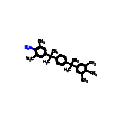 Cc1cc(C(C)(C)c2ccc(C(C)(C)c3cc(C)c(N)c(C)c3)cc2)cc(C)c1C